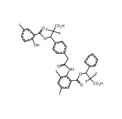 O=C(Cc1ccc(C(OC(=O)c2cc(I)ccc2O)C(F)(F)C(=O)O)cc1)Nc1c(I)cc(I)cc1C(=O)OC(c1ccccc1)C(F)(F)C(=O)O